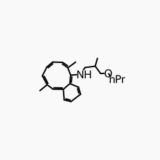 CCCOCC(C)CNc1c(C)ccccc(C)cc2ccccc12